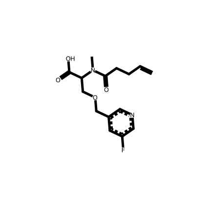 C=CCCC(=O)N(C)C(COCc1cncc(F)c1)C(=O)O